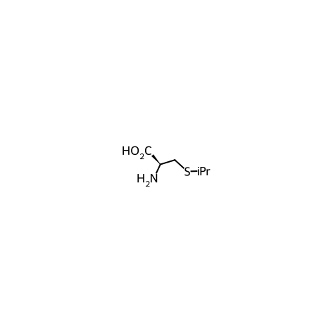 CC(C)SC[C@@H](N)C(=O)O